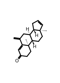 C=C1C[C@H]2[C@@H]3CC=C[C@@]3(C)CC[C@@H]2[C@@]2(C)CCC(=O)C=C12